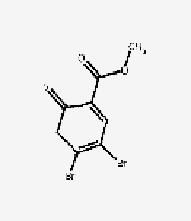 COC(=O)C1=CC(Br)=C(Br)CC1=S